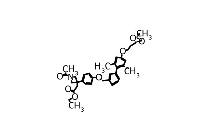 CCOC(=O)CC1(c2ccc(OCc3cccc(-c4c(C)cc(OCCCS(C)(=O)=O)cc4C)c3)cc2)CN(C(C)=O)C1